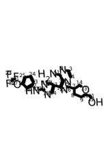 Nc1nccn2c(C3CCC(CO)OC3)nc(-c3cnc(Nc4cccc(OC(F)(F)F)c4)nc3)c12